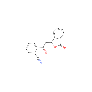 N#Cc1ccccc1C(=O)CC1OC(=O)c2ccccc21